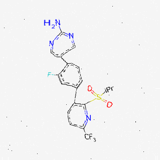 CC(C)S(=O)(=O)c1nc(C(F)(F)F)ccc1-c1ccc(-c2cnc(N)nc2)c(F)c1